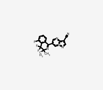 CC1(C)N=C(c2cnc3c(C#N)cnn3c2)c2cccc(F)c2C1(F)F